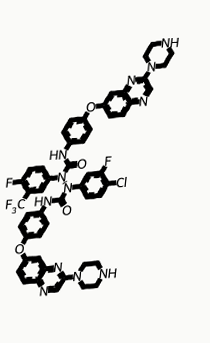 O=C(Nc1ccc(Oc2ccc3ncc(N4CCNCC4)nc3c2)cc1)N(c1ccc(Cl)c(F)c1)N(C(=O)Nc1ccc(Oc2ccc3ncc(N4CCNCC4)nc3c2)cc1)c1ccc(F)c(C(F)(F)F)c1